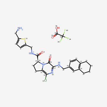 NCc1ccc(CNC(=O)[C@@H]2CCc3c(Cl)nc(NCc4ccc5c(c4)CCCC5)c(=O)n32)s1.O=C(O)C(F)(F)F